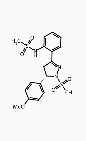 COc1ccc([C@@H]2CC(c3ccccc3NS(C)(=O)=O)=NN2S(C)(=O)=O)cc1